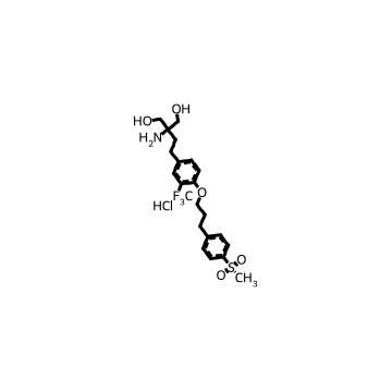 CS(=O)(=O)c1ccc(CCCOc2ccc(CCC(N)(CO)CO)cc2C(F)(F)F)cc1.Cl